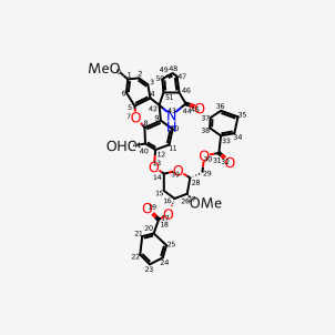 COc1ccc2c(c1)Oc1c(ccc(OC3C[C@@H](OC(=O)c4ccccc4)[C@@H](OC)[C@@H](COC(=O)c4ccccc4)O3)c1C=O)C21NC(=O)c2ccccc21